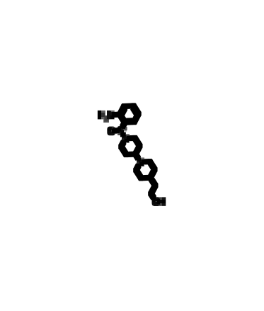 Nc1ccccc1[S+]([O-])N1CCC(N2CCC(CCO)CC2)CC1